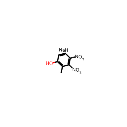 Cc1c(O)ccc([N+](=O)[O-])c1[N+](=O)[O-].[NaH]